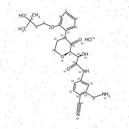 CC(C)(O)CCOc1ccccc1N1CCO[C@H]([C@@H](O)C(=O)Nc2ccc(C#N)c(CN)c2)C1=O.Cl